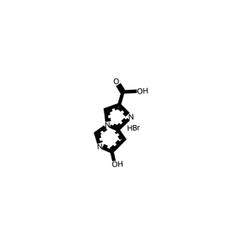 Br.O=C(O)c1cn2cnc(O)cc2n1